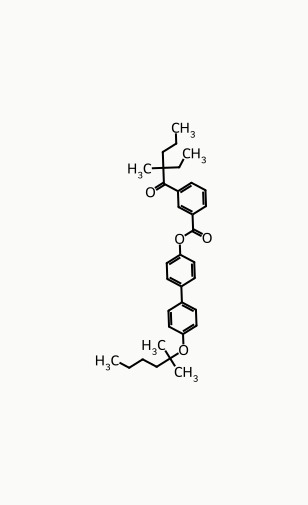 CCCCC(C)(C)Oc1ccc(-c2ccc(OC(=O)c3cccc(C(=O)C(C)(CC)CCC)c3)cc2)cc1